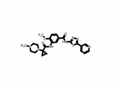 CN1CCN(C2(C(=O)Nc3cc(C(=O)Nc4nnc(-c5cccnc5)s4)ccc3OC(F)(F)F)CC2)CC1